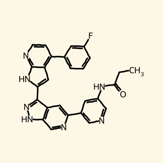 CCC(=O)Nc1cncc(-c2cc3c(-c4cc5c(-c6cccc(F)c6)ccnc5[nH]4)n[nH]c3cn2)c1